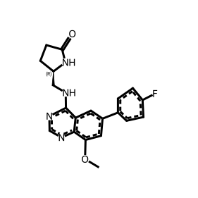 COc1cc(-c2ccc(F)cc2)cc2c(NC[C@H]3CCC(=O)N3)ncnc12